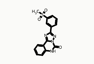 CS(=O)(=O)c1cccc(-c2nc3c4ccccc4[nH]c(=O)n3n2)c1